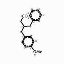 COc1ccc(CC(CC(=O)O)Cc2ccccc2)cc1